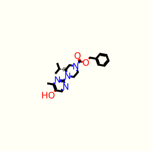 Cc1nc(N2CCN(C(=O)OCc3ccccc3)C[C@H]2C(C)C)ncc1O